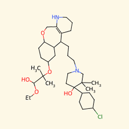 CCOC(O)C(C)(C)OC1CCC2OCC3=C(CCCN3)C(CCCN3CCC(O)(C4CCC(Cl)CC4)C(C)(C)C3)C2C1